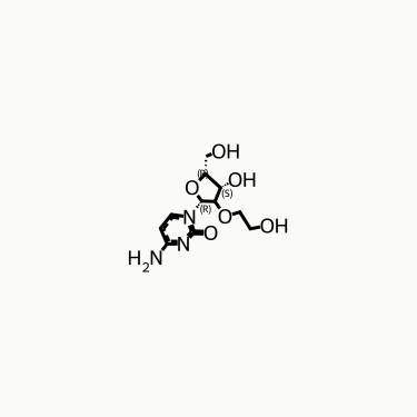 Nc1ccn([C@@H]2O[C@H](CO)[C@H](O)C2OCCO)c(=O)n1